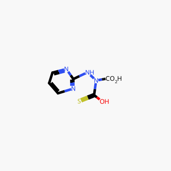 O=C(O)N(Nc1ncccn1)C(O)=S